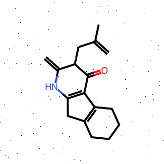 C=C(C)CC1C(=C)NC2=C(C1=O)C1=C(CCCC1)C2